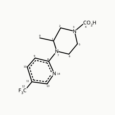 CC1CN(C(=O)O)CCN1c1ccc(C(F)(F)F)cn1